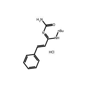 CCCCNC(C=Cc1ccccc1)=NC(N)=O.Cl